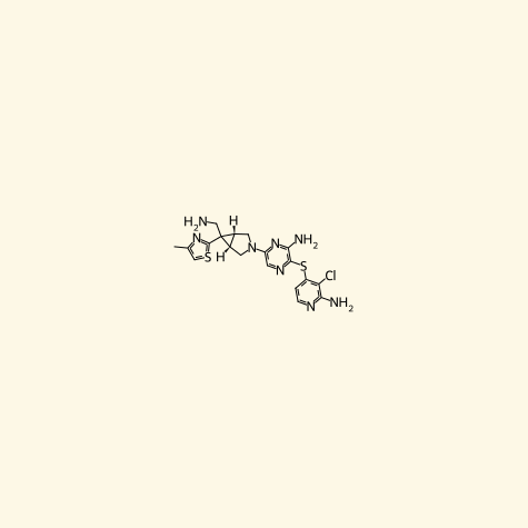 Cc1csc(C2(CN)[C@@H]3CN(c4cnc(Sc5ccnc(N)c5Cl)c(N)n4)C[C@@H]32)n1